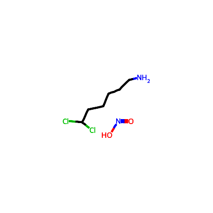 NCCCCCC(Cl)Cl.O=NO